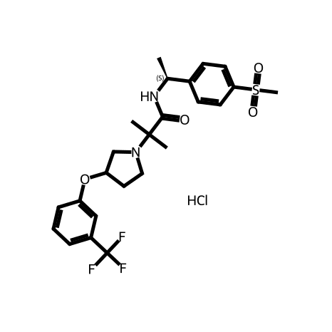 C[C@H](NC(=O)C(C)(C)N1CCC(Oc2cccc(C(F)(F)F)c2)C1)c1ccc(S(C)(=O)=O)cc1.Cl